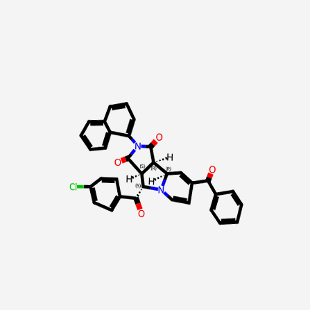 O=C(C1=C[C@@H]2[C@@H]3C(=O)N(c4cccc5ccccc45)C(=O)[C@@H]3[C@@H](C(=O)c3ccc(Cl)cc3)N2C=C1)c1ccccc1